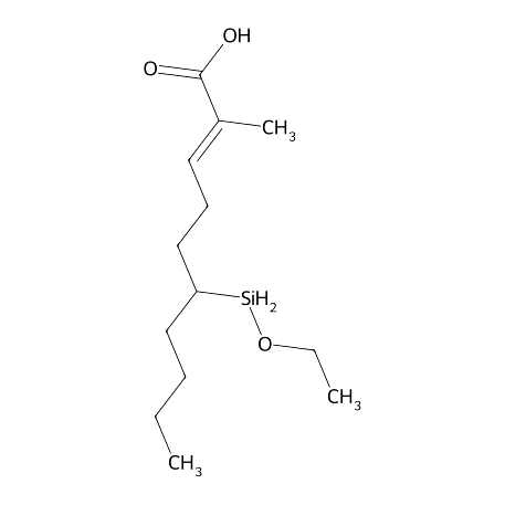 CCCCC(CC/C=C(\C)C(=O)O)[SiH2]OCC